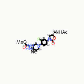 [C-]#[N+]C1(NNC(=O)OC)CCN(c2ccc(N3C[C@H](CNC(C)=O)OC3=O)cc2F)CC1